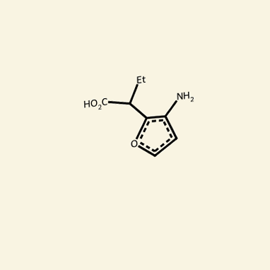 CCC(C(=O)O)c1occc1N